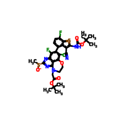 C[S+]([O-])c1nc2c3c(c(Cl)c(-c4ccc(F)c5sc(NC(=O)OC(C)(C)C)c(C#N)c45)c(F)c3n1)OCCN2CC(=O)OC(C)(C)C